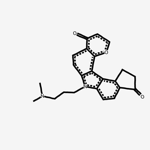 CN(C)CCCn1c2ccc3c(c2c2c4occc(=O)c4ccc21)CCC3=O